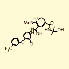 CNC1=C(C(=N)Nc2ccc(Oc3cccc(C(F)(F)F)c3)c(Cl)c2)C=C(C(=O)NC(C)(C)CO)CCN1